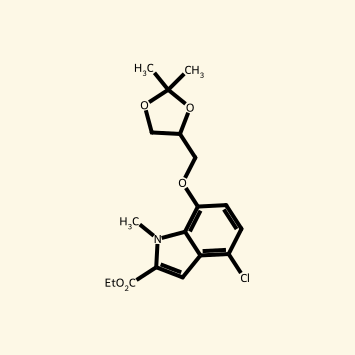 CCOC(=O)c1cc2c(Cl)ccc(OCC3COC(C)(C)O3)c2n1C